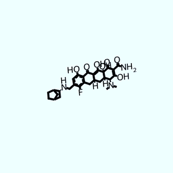 CN(C)[C@@H]1C(O)=C(C(N)=O)C(=O)[C@@]2(O)C(O)=C3C(=O)c4c(O)cc(CN[C@@H]5CC6CCC5C6)c(F)c4C[C@H]3C[C@@H]12